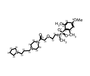 COc1cc(C)c(S(=O)(=O)N(C)CCOCC(=O)N2CCN(CCCN3CCCC3)CC2)c(C)c1